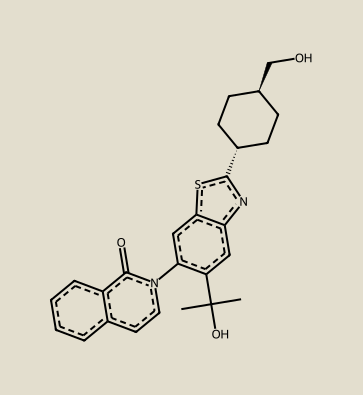 CC(C)(O)c1cc2nc([C@H]3CC[C@H](CO)CC3)sc2cc1-n1ccc2ccccc2c1=O